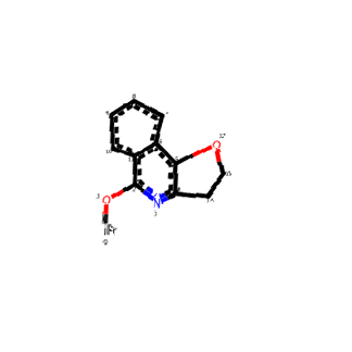 CC(C)Oc1nc2c(c3ccccc13)OCC2